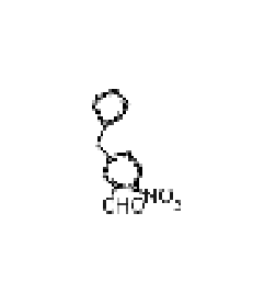 O=Cc1cc(Cc2ccccc2)ccc1[N+](=O)[O-]